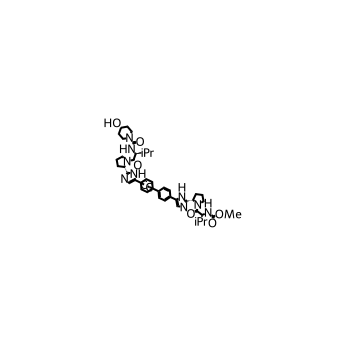 COC(=O)N[C@H](C(=O)N1CCC[C@H]1c1ncc(-c2ccc(C34CCC(c5cnc([C@@H]6CCCN6C(=O)[C@@H](NC(=O)N6CCC(O)CC6)C(C)C)[nH]5)(CC3)CC4)cc2)[nH]1)C(C)C